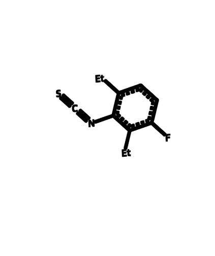 CCc1ccc(F)c(CC)c1N=C=S